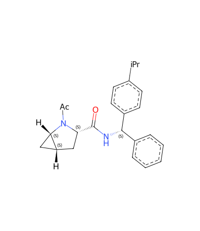 CC(=O)N1[C@H](C(=O)N[C@@H](c2ccccc2)c2ccc(C(C)C)cc2)C[C@@H]2C[C@@H]21